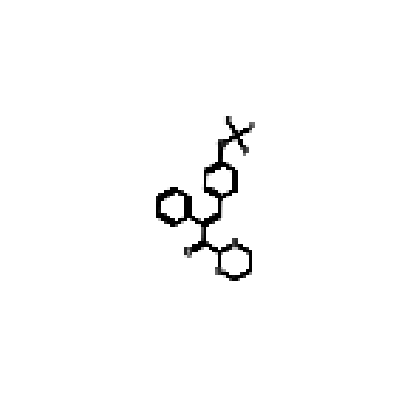 O=C(/C(=C/c1ccc(OC(F)(F)F)cc1)c1ccccc1)C1SCCCS1